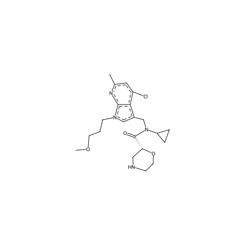 COCCCn1cc(CN(C(=O)[C@H]2CNCCO2)C2CC2)c2c(Cl)cc(C)nc21